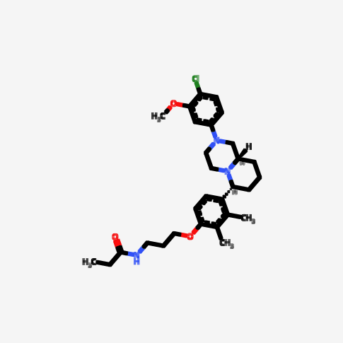 CCC(=O)NCCCOc1ccc([C@H]2CCC[C@H]3CN(c4ccc(Cl)c(OC)c4)CCN32)c(C)c1C